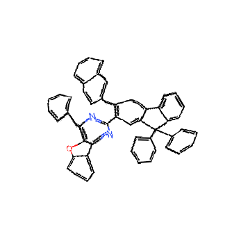 c1ccc(-c2nc(-c3cc4c(cc3-c3ccc5ccccc5c3)-c3ccccc3C4(c3ccccc3)c3ccccc3)nc3c2oc2ccccc23)cc1